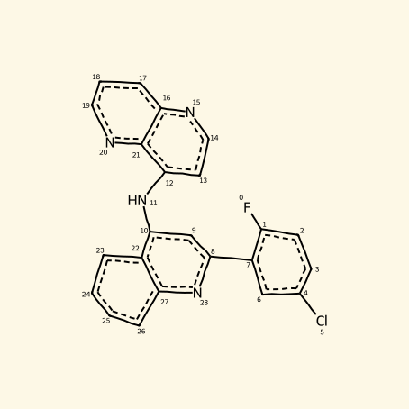 Fc1ccc(Cl)cc1-c1cc(Nc2ccnc3cccnc23)c2ccccc2n1